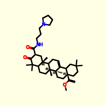 C=C(OC)[C@]12CCC(C)(C)CC1C1=CCC3[C@@]4(C)CC(C(=O)NCCCN5CCCC5)C(=O)C(C)(C)C4CC[C@@]3(C)[C@]1(C)CC2